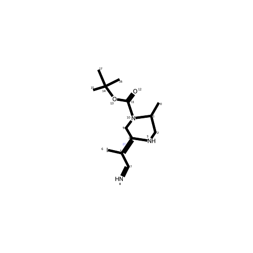 CC1CN/C(=C(/I)C=N)CN1C(=O)OC(C)(C)C